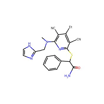 CCc1c(C#N)c(SC(C(N)=O)c2ccccc2)nc(N(C)Cc2ncc[nH]2)c1C#N